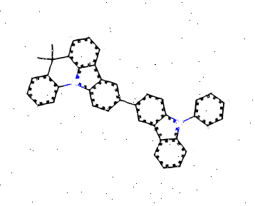 CC1(C)c2ccccc2-n2c3ccc(-c4ccc5c(c4)c4ccccc4n5-c4ccccc4)cc3c3cccc1c32